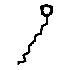 ICCCCCCCCCc1ccccc1